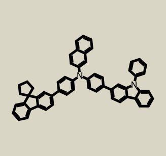 c1ccc(-n2c3ccccc3c3ccc(-c4ccc(N(c5ccc(-c6ccc7c(c6)C6(CCCC6)c6ccccc6-7)cc5)c5ccc6ccccc6c5)cc4)cc32)cc1